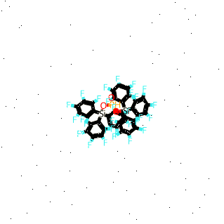 O=[PH](O[Si](c1c(F)c(F)c(F)c(F)c1F)(c1c(F)c(F)c(F)c(F)c1F)c1c(F)c(F)c(F)c(F)c1F)O[Si](c1c(F)c(F)c(F)c(F)c1F)(c1c(F)c(F)c(F)c(F)c1F)c1c(F)c(F)c(F)c(F)c1F